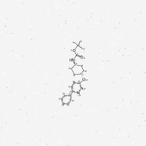 CC(C)(C)OC(=O)N[C@H]1CC[C@H](Oc2ccc(-c3ccccc3)nn2)CC1